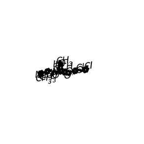 Cc1nc(C(=O)N2Cc3cc4c(cc3C[C@H]2C(=O)N[C@@H](Cc2ccc(-c3ccnc(C)c3C)cc2)C(=O)O)OC[C@H](c2ccc(OCc3cccc(Cl)c3Cl)cc2)O4)c(C)o1